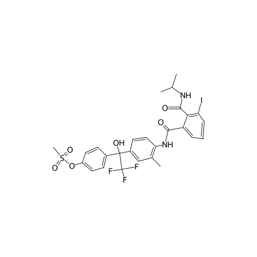 Cc1cc(C(O)(c2ccc(OS(C)(=O)=O)cc2)C(F)(F)F)ccc1NC(=O)c1cccc(I)c1C(=O)NC(C)C